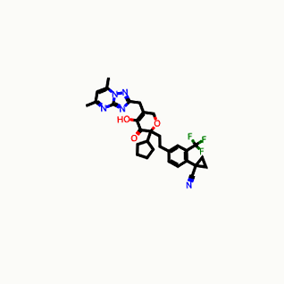 Cc1cc(C)n2nc(CC3=C(O)C(=O)C(CCc4ccc(C5(C#N)CC5)c(C(F)(F)F)c4)(C4CCCC4)OC3)nc2n1